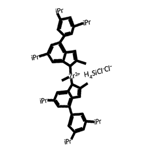 CC1=Cc2c(-c3cc(C(C)C)cc(C(C)C)c3)cc(C(C)C)cc2[CH]1[Zr+2]([CH3])([CH3])[CH]1C(C)=Cc2c(-c3cc(C(C)C)cc(C(C)C)c3)cc(C(C)C)cc21.[Cl-].[Cl-].[SiH4]